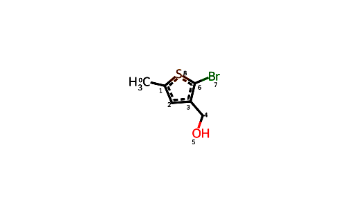 Cc1cc(CO)c(Br)s1